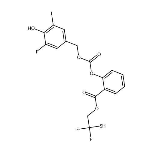 O=C(OCc1cc(I)c(O)c(I)c1)Oc1ccccc1C(=O)OCC(F)(F)S